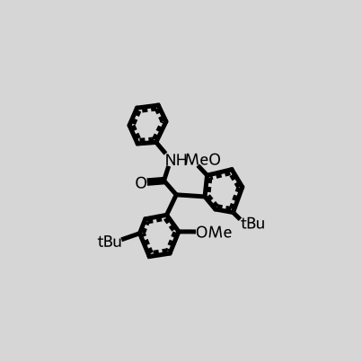 COc1ccc(C(C)(C)C)cc1C(C(=O)Nc1ccccc1)c1cc(C(C)(C)C)ccc1OC